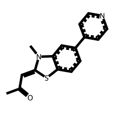 CC(=O)/C=C1\Sc2ccc(-c3ccncc3)cc2N1C